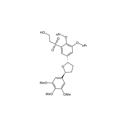 CCCOc1cc([C@@H]2CC[C@@H](c3cc(OC)c(OC)c(OC)c3)O2)cc(S(=O)(=O)CCO)c1OCCC